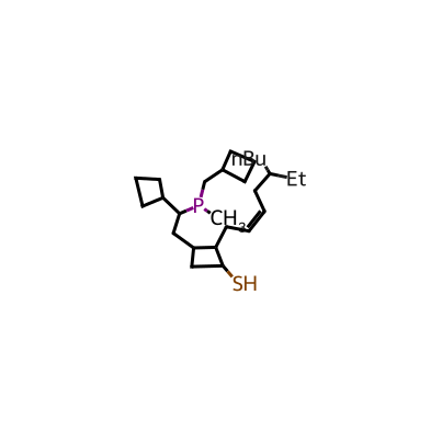 CCCCC(CC)C/C=C\CC1C(S)CC1CC(C1CCC1)P(C)CC1CCC1